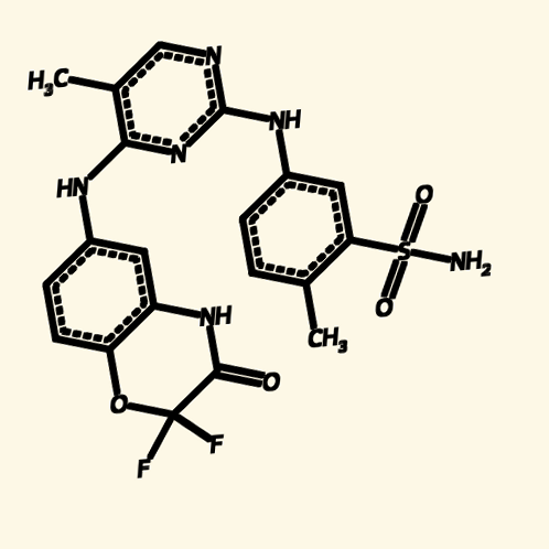 Cc1ccc(Nc2ncc(C)c(Nc3ccc4c(c3)NC(=O)C(F)(F)O4)n2)cc1S(N)(=O)=O